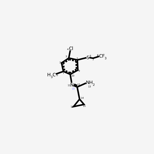 Cc1cc(Cl)c(SCC(F)(F)F)cc1/N=C(\N)C1CC1